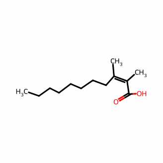 CCCCCCCC/C(C)=C(/C)C(=O)O